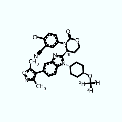 [2H]C([2H])([2H])O[C@H]1CC[C@H](n2c([C@@H]3CCOC(=O)N3c3ccc(Cl)c(C#N)c3)nc3cc(-c4c(C)noc4C)ccc32)CC1